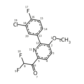 COc1ccc(C(=O)C(F)F)nc1-c1ccc(F)c(Cl)c1